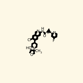 C[C@@]1(N2CCC(c3cc4cc(NC(=O)[C@@H]5C[C@H]5c5cc(F)ccn5)ncc4cc3Cl)CC2)COC[C@@H]1O